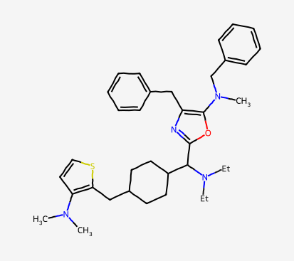 CCN(CC)C(c1nc(Cc2ccccc2)c(N(C)Cc2ccccc2)o1)C1CCC(Cc2sccc2N(C)C)CC1